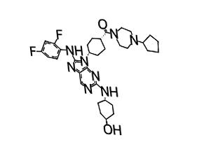 O=C([C@H]1CC[C@@H](n2c(Nc3ccc(F)cc3F)nc3cnc(N[C@H]4CC[C@H](O)CC4)nc32)CC1)N1CCN(C2CCCC2)CC1